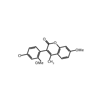 COc1ccc2c(C)c(-c3ccc(Cl)cc3OC)c(=O)oc2c1